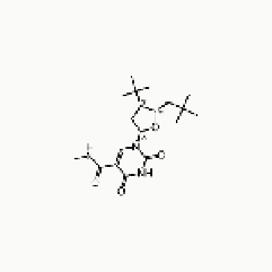 CNC(=O)c1cn([C@H]2C[C@@H](C(C)(C)C)[C@@H](CC(C)(C)C)O2)c(=O)[nH]c1=O